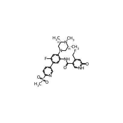 C[C@@H]1CN(c2cc(F)c(-c3ccc(S(C)(=O)=O)nc3)cc2NC(=O)c2c[nH]c(=O)cc2CF)C[C@H](C)N1C